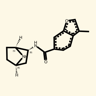 Cc1coc2cc(C(=O)N[C@@H]3C[C@H]4CC[C@@H]3N4)ccc12